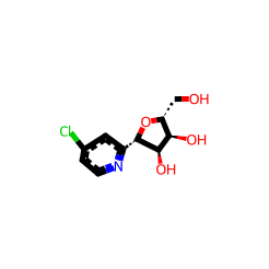 OC[C@H]1O[C@@H](c2cc(Cl)ccn2)[C@H](O)[C@@H]1O